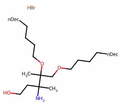 Br.CCCCCCCCCCCCCCOCC(C)(OCCCCCCCCCCCCCC)C(C)(N)CCO